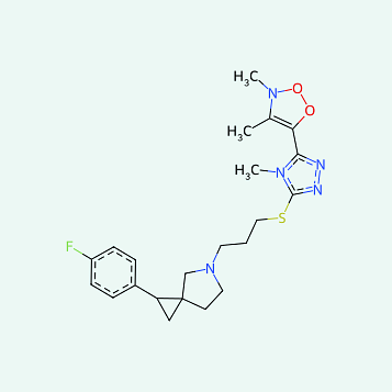 CC1=C(c2nnc(SCCCN3CCC4(CC4c4ccc(F)cc4)C3)n2C)OON1C